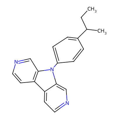 CCC(C)c1ccc(-n2c3cnccc3c3ccncc32)cc1